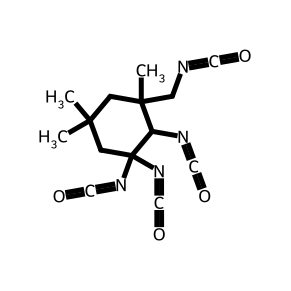 CC1(C)CC(C)(CN=C=O)C(N=C=O)C(N=C=O)(N=C=O)C1